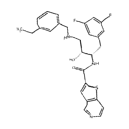 CCc1cccc(CNC[C@@H](O)[C@H](Cc2cc(F)cc(F)c2)NC(=O)c2cc3cnccc3s2)c1